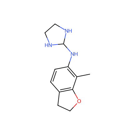 Cc1c(NC2NCCN2)ccc2c1OCC2